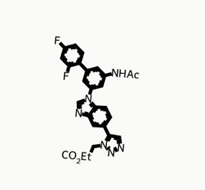 CCOC(=O)Cn1nncc1-c1ccc2c(c1)ncn2-c1cc(NC(C)=O)cc(-c2ccc(F)cc2F)c1